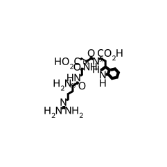 NC(N)=NCCC[C@H](N)C(=O)NCC(=O)N[C@@H](CC(=O)O)C(=O)N[C@@H](Cc1c[nH]c2ccccc12)C(=O)O